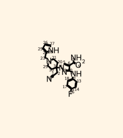 N#CCC1(n2cc(C(N)=O)c(Nc3ccc(F)cc3)n2)CCN(Cc2ccc[nH]2)CC1